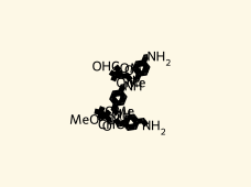 COC1(C=O)C(C)(C)C1(OC)C(=O)N(Cc1ccc(CN)cc1)NCc1ccc(CNN(Cc2ccc(CN)cc2)C(=O)C2(OC)C(C)(C)C2(C=O)OC)cc1